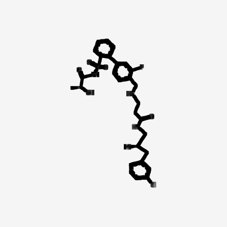 C[C@H](O)C(=O)NS(=O)(=O)c1ccccc1-c1ccc(CNCCC(=O)NC[C@H](S)Cc2cccc(Cl)c2)c(F)c1